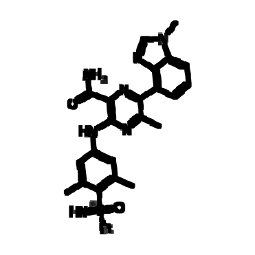 CC[S@](=N)(=O)c1c(C)cc(Nc2nc(C)c(-c3cccc4c3ncn4C)nc2C(N)=O)cc1C